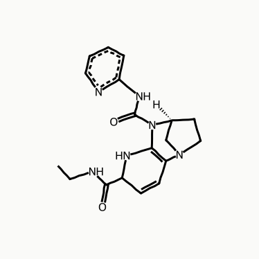 CCNC(=O)C1C=CC2=C(N1)N(C(=O)Nc1ccccn1)[C@H]1CCN2C1